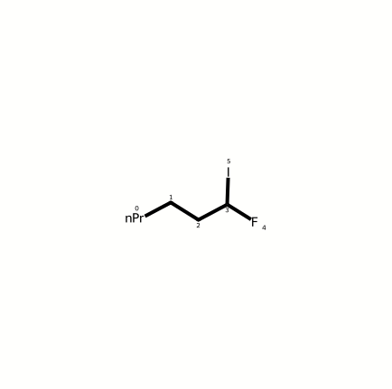 CCCCCC(F)I